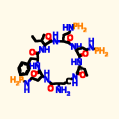 CCC(C)C1NC(=O)C(Cc2ccccc2)NC(=O)C(CCNP)NC(=O)C(N)CCNC(=O)[C@H](CC)NC(=O)C(CCNP)NC(=O)C(CCNP)NC1=O